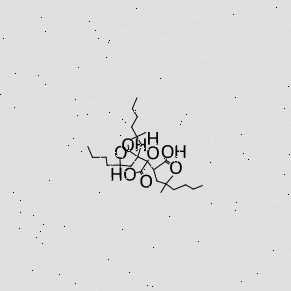 CCCCC(C)(C)CC(C(=O)O)C(O)(C(=O)O)C(CC(C)(C)CCCC)(CC(C)(C)CCCC)C(=O)O